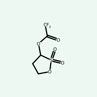 O=C(OC1CCOS1(=O)=O)C(F)(F)F